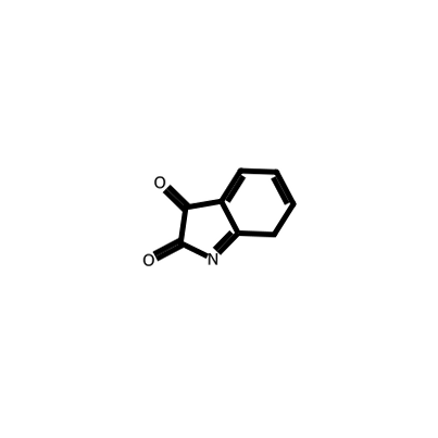 O=C1N=C2CC=CC=C2C1=O